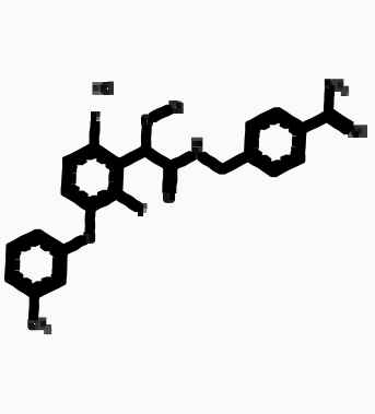 CCOC(C(=O)NCc1ccc(C(=N)N)cc1)c1c(F)ccc(Oc2cccc(C)c2)c1F.Cl